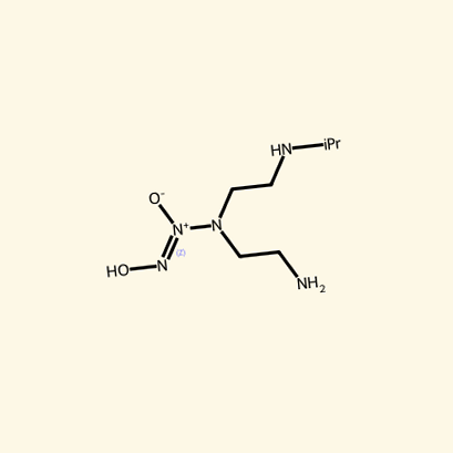 CC(C)NCCN(CCN)/[N+]([O-])=N/O